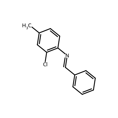 Cc1ccc(N=Cc2ccccc2)c(Cl)c1